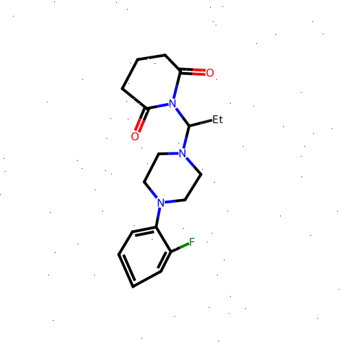 CCC(N1CCN(c2ccccc2F)CC1)N1C(=O)CCCC1=O